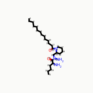 CCCCCCCCCCCCCC(=O)N1CCCCC1CN(N)C(=O)C(N)CCCC